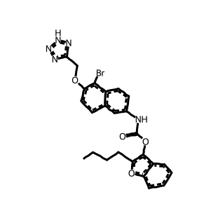 CCCCc1oc2ccccc2c1OC(=O)Nc1ccc2c(Br)c(OCc3nn[nH]n3)ccc2c1